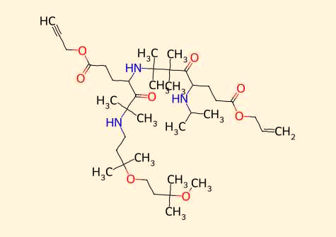 C#CCOC(=O)CCC(NC(C)(C)C(C)(C)C(=O)C(CCC(=O)OCC=C)NC(C)C)C(=O)C(C)(C)NCCC(C)(C)OCCC(C)(C)OC